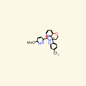 COc1ccc(C(=O)N[C@]2(c3ccc(C(F)(F)F)cc3)CCOc3cccnc32)nn1